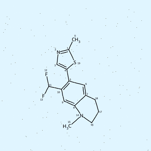 Cc1ncc(-c2cc3c(cc2C(F)F)N(C)CCC3)s1